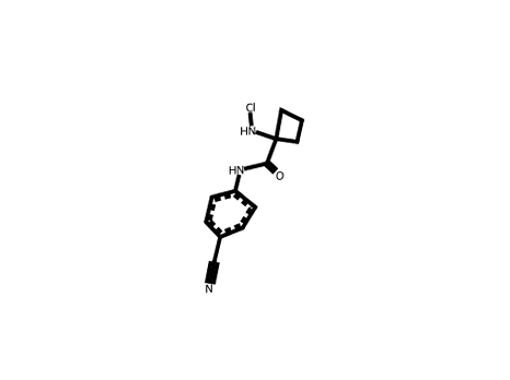 N#Cc1ccc(NC(=O)C2(NCl)CCC2)cc1